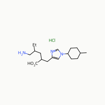 CCC(CN)CC(Cc1cn(C2CCC(C)CC2)cn1)C(=O)O.Cl